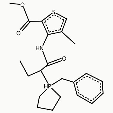 CCC(C(=O)Nc1c(C)csc1C(=O)OC)[PH]1(Cc2ccccc2)CCCC1